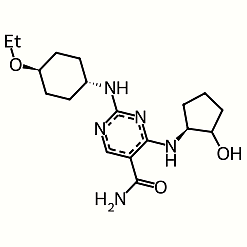 CCO[C@H]1CC[C@H](Nc2ncc(C(N)=O)c(N[C@H]3CCCC3O)n2)CC1